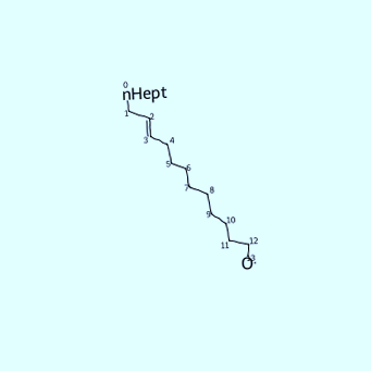 CCCCCCCC/C=C/CCCCCCCCC[O]